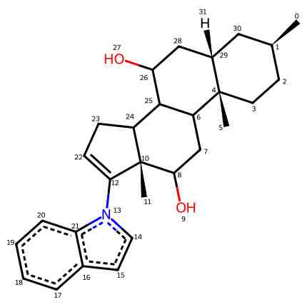 C[C@H]1CC[C@]2(C)C3CC(O)[C@]4(C)C(n5ccc6ccccc65)=CCC4C3C(O)C[C@@H]2C1